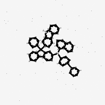 c1ccc(-c2ccc(N(c3ccc4c(c3)C(c3ccccc3)(c3ccc5c(c3)sc3ccccc35)c3ccccc3-4)c3cccc4ccccc34)cc2)cc1